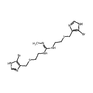 CN=C(NCCSCc1nc[nH]c1Br)NCCSCc1nc[nH]c1Br